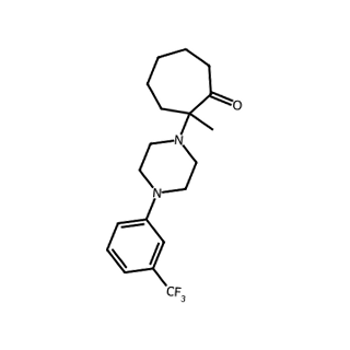 CC1(N2CCN(c3cccc(C(F)(F)F)c3)CC2)CCCCCC1=O